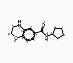 O=C(NC1CCCC1)c1ccc2c(c1)NCCO2